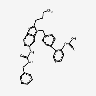 CCCCc1nc2ccc(NC(=O)NCc3ccccc3)cc2n1Cc1ccc(-c2ccccc2OC(=O)O)cc1